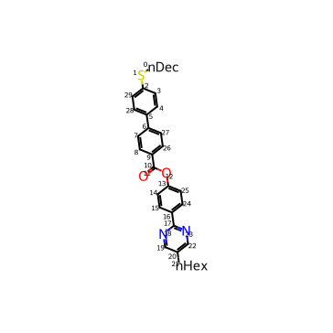 CCCCCCCCCCSc1ccc(-c2ccc(C(=O)Oc3ccc(-c4ncc(CCCCCC)cn4)cc3)cc2)cc1